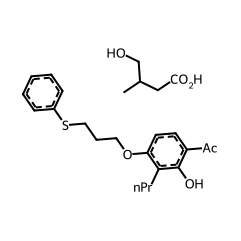 CC(CO)CC(=O)O.CCCc1c(OCCCSc2ccccc2)ccc(C(C)=O)c1O